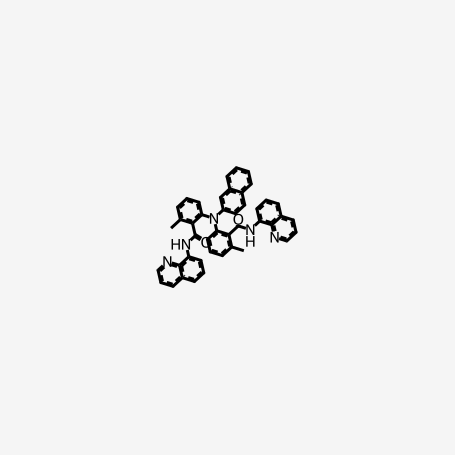 Cc1cccc(N(c2ccc3ccccc3c2)c2cccc(C)c2C(=O)Nc2cccc3cccnc23)c1C(=O)Nc1cccc2cccnc12